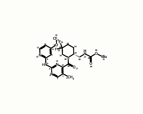 Cc1cnc(Nc2cc(OC(F)(F)F)ccn2)nc1C(=O)N1CC(F)(F)CC[C@@H]1CNC(=O)OC(C)(C)C